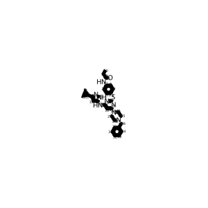 CCC(=O)Nc1ccc(Sc2nc(Nc3cc(C4CC4)n[nH]3)cc(N3CCN(Cc4ccccc4)CC3)n2)cc1